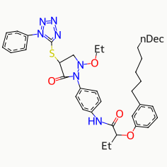 CCCCCCCCCCCCCCCc1cccc(OC(CC)C(=O)Nc2ccc(N3C(=O)C(Sc4nnnn4-c4ccccc4)CN3OCC)cc2)c1